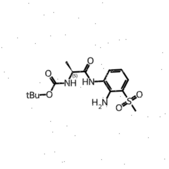 C[C@H](NC(=O)OC(C)(C)C)C(=O)Nc1cccc(S(C)(=O)=O)c1N